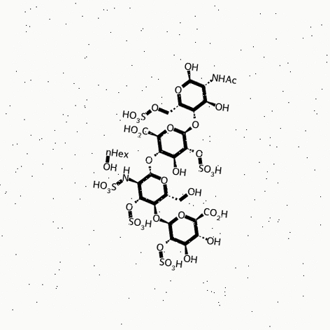 CC(=O)N[C@@H]1[C@@H](O)[C@H](O[C@@H]2O[C@H](C(=O)O)[C@@H](O[C@@H]3O[C@H](CO)[C@@H](O[C@H]4O[C@@H](C(=O)O)[C@H](O)[C@@H](O)[C@@H]4OS(=O)(=O)O)[C@H](OS(=O)(=O)O)[C@H]3NS(=O)(=O)O)[C@H](O)[C@H]2OS(=O)(=O)O)[C@H](COS(=O)(=O)O)O[C@H]1O.CCCCCCO